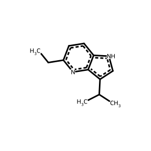 CCc1ccc2[nH]cc(C(C)C)c2n1